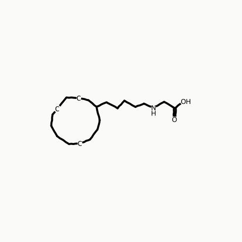 O=C(O)CNCCCCCC1CCCCCCCCCCCC1